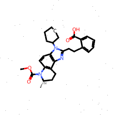 COC(=O)N1c2ccc3c(nc(CCc4ccccc4C(=O)O)n3C3CCCCC3)c2CC[C@@H]1C